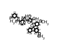 COc1ccc(C(OC[C@H]2O[C@@H](n3cnc4c(N(C)Cc5cccc(F)c5)ncnc43)[C@H](O)[C@@H]2O)(c2ccccc2)c2ccc(OC)cc2)cc1